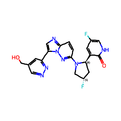 O=c1[nH]cc(F)cc1[C@H]1C[C@H](F)CN1c1ccc2ncc(-c3cc(CO)cnn3)n2n1